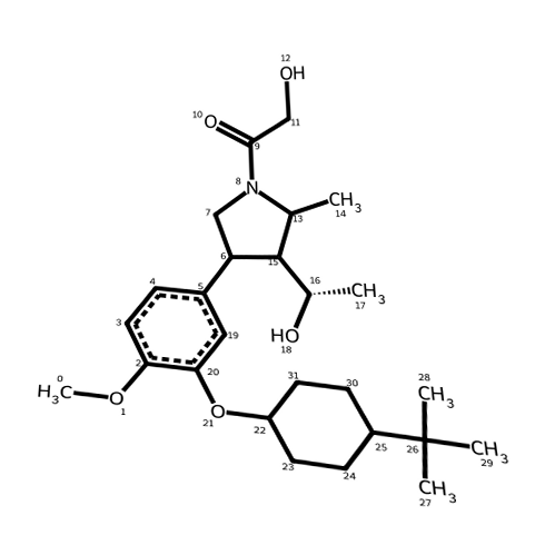 COc1ccc(C2CN(C(=O)CO)C(C)C2[C@H](C)O)cc1OC1CCC(C(C)(C)C)CC1